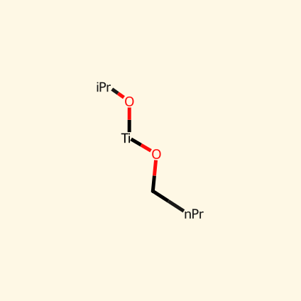 CCCC[O][Ti][O]C(C)C